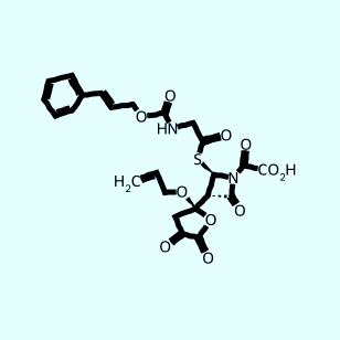 C=CCO[C@]1([C@H]2C(=O)N(C(=O)C(=O)O)[C@@H]2SC(=O)CNC(=O)OCC=Cc2ccccc2)CC(=O)C(=O)O1